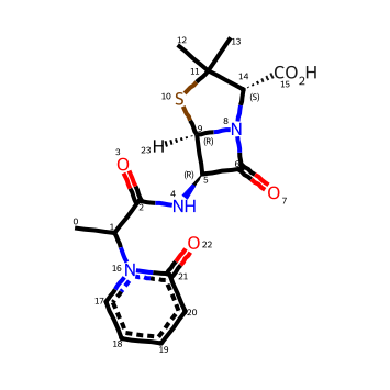 CC(C(=O)N[C@@H]1C(=O)N2[C@@H]1SC(C)(C)[C@@H]2C(=O)O)n1ccccc1=O